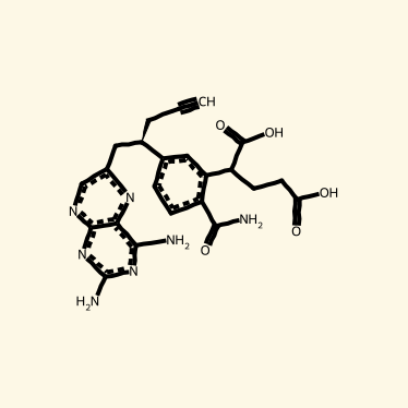 C#CC[C@H](Cc1cnc2nc(N)nc(N)c2n1)c1ccc(C(N)=O)c(C(CCC(=O)O)C(=O)O)c1